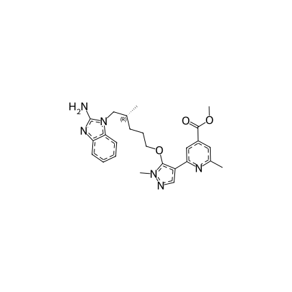 COC(=O)c1cc(C)nc(-c2cnn(C)c2OCCC[C@@H](C)Cn2c(N)nc3ccccc32)c1